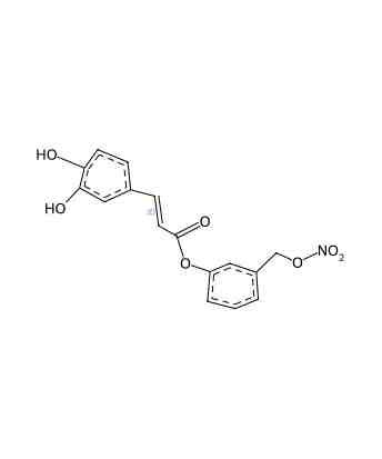 O=C(/C=C/c1ccc(O)c(O)c1)Oc1cccc(CO[N+](=O)[O-])c1